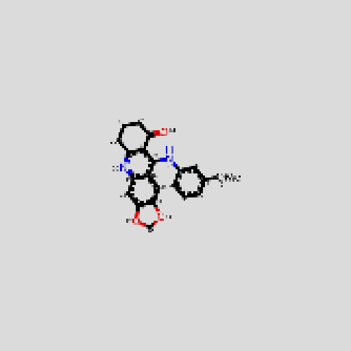 COc1cccc(Nc2c3c(nc4cc5c(cc24)OCO5)CCCC3=O)c1